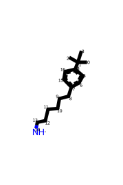 CC(C)(C)c1ccc(CCCCCC[NH])cc1